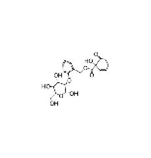 O=C1CCC=CC1(O)C(=O)OCc1ccccc1O[C@@H]1[C@@H](O)[C@H](O)[C@@H](CO)O[C@H]1O